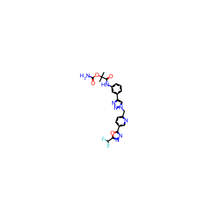 CC(C)(OC(N)=O)C(=O)Nc1cccc(-c2cn(Cc3ccc(-c4nnc(C(F)F)o4)cn3)nn2)c1